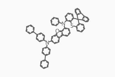 c1ccc(-c2ccc(N(c3ccc(-c4ccccc4)cc3)c3ccc4c(c3)oc3c(N(c5ccccc5)c5cccc6c5Sc5ccccc5C65c6ccccc6-c6ccccc65)cccc34)cc2)cc1